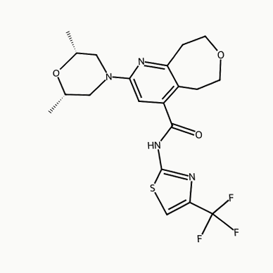 C[C@@H]1CN(c2cc(C(=O)Nc3nc(C(F)(F)F)cs3)c3c(n2)CCOCC3)C[C@H](C)O1